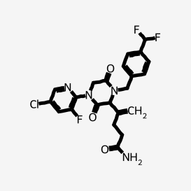 C=C(CCC(N)=O)C1C(=O)N(c2ncc(Cl)cc2F)CC(=O)N1Cc1ccc(C(F)F)cc1